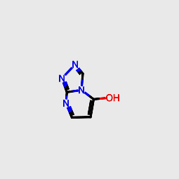 Oc1ccnc2nncn12